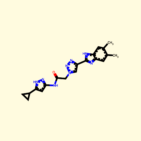 Cc1cc2nc(-c3cn(CC(=O)Nc4cc(C5CC5)[nH]n4)nn3)[nH]c2cc1C